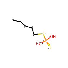 CCCCCSP(O)(O)=S